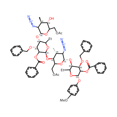 CCC1O[C@@H](O[C@@H]2C(COC(C)=O)O[C@@H](O[C@@H]3C(CC)O[C@@H](Oc4ccc(OC)cc4)C(OC(=O)c4ccccc4)[C@@H]3OCc3ccccc3)C(N=[N+]=[N-])[C@H]2C)C(OC(=O)c2ccccc2)[C@H](OCc2ccccc2)[C@@H]1O[C@H]1OC(COC(C)=O)[C@@H](O)[C@H](C)C1N=[N+]=[N-]